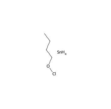 CCCCOCl.[SnH4]